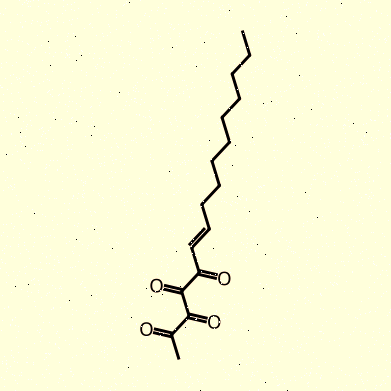 CCCCCCCCC/C=C/C(=O)C(=O)C(=O)C(C)=O